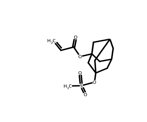 C=CC(=O)OC12CC3CC(C1)CC(OS(C)(=O)=O)(C3)C2